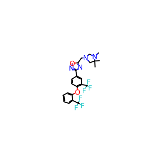 CN1CN(Cc2nc(-c3ccc(Oc4ccccc4C(F)(F)F)c(C(F)(F)F)c3)no2)CC1(C)C